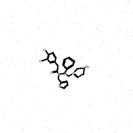 O=C(Cc1ccc(Cl)c(Cl)c1)N(Cc1ccco1)[C@H](CN1CC[C@H](O)C1)c1ccccc1